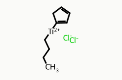 CCC[CH2][Ti+2][C]1=CC=CC1.[Cl-].[Cl-]